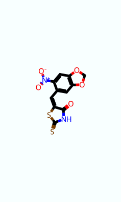 O=C1NC(=S)SC1=Cc1cc2c(cc1[N+](=O)[O-])OCO2